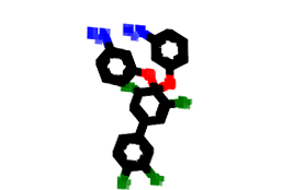 Nc1cccc(OC2(Oc3cccc(N)c3)C(Br)=CC(c3ccc(Br)c(Br)c3)=CC2Br)c1